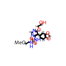 COCCNS(=O)(=O)Nc1ncnc(OCCO)c1-c1ccc2c(c1)OCO2